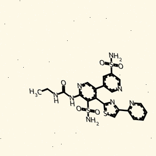 CCNC(=O)Nc1ncc(-c2cncc(S(N)(=O)=O)c2)c(-c2nc(-c3ccccn3)cs2)c1S(N)(=O)=O